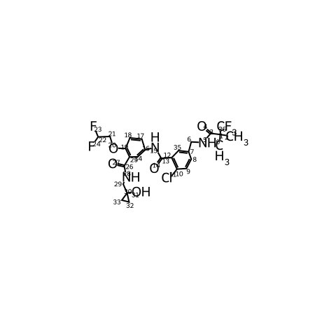 CC(C)(C(=O)NCc1ccc(Cl)c(C(=O)Nc2ccc(OCC(F)F)c(C(=O)NCC3(O)CC3)c2)c1)C(F)(F)F